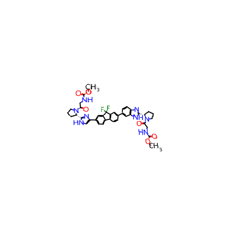 COC(=O)NCC(=O)N1CCC[C@H]1c1nc(-c2ccc3c(c2)C(F)(F)c2cc(-c4ccc5nc([C@@H]6CCCN6C(=O)CNC(=O)OC)[nH]c5c4)ccc2-3)c[nH]1